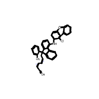 C#C/C=C\C=C/CC1(c2ccccc2O)c2ccccc2-c2c(Nc3ccc4oc5ccccc5c4c3Cl)cccc21